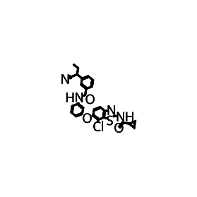 CCC(C#N)c1cccc(C(=O)Nc2cccc(Oc3ccc4nc(NC(=O)C5CC5)sc4c3Cl)c2)c1